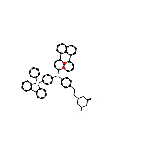 C=C1CC(C)CC(CCc2ccc(N(c3ccc(-c4cccc5cccc(-c6ccccc6)c45)cc3)c3ccc(S4(c5ccccc5)c5ccccc5-c5ccccc54)cc3)cc2)C1